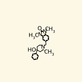 C[C@@H]1C[C@](O)(c2ccccc2)CCN1Cc1ccc2c(c1)n(C)c(=O)n2C